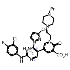 C=C(/N=C\C(=C(/N)n1ccc(C(F)(F)F)n1)c1cc(C(=O)O)c(=O)n(CCN2CCN(C(C)C)CC2)c1)Nc1ccc(F)c(Cl)c1